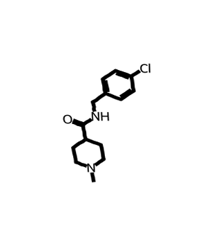 CN1CCC(C(=O)NCc2ccc(Cl)cc2)CC1